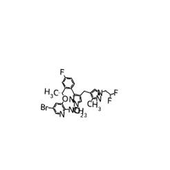 Cc1nn(CC(F)F)cc1Cc1cn(C)nc1-c1ccc(F)cc1[C@@H](C)Oc1cc(Br)cnc1[N+](=O)[O-]